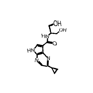 O=C(NC(CO)CO)c1c[nH]c2ncc(C3CC3)nc12